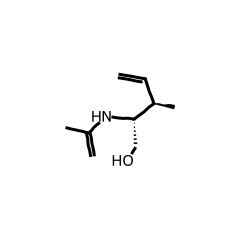 C=C[C@@H](C)[C@H](CO)NC(=C)C